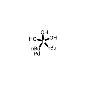 CCCCP(O)(O)(O)CCCC.[Pd]